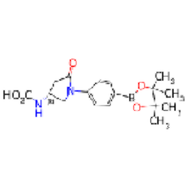 CC1(C)OB(c2ccc(N3C[C@H](NC(=O)O)CC3=O)cc2)OC1(C)C